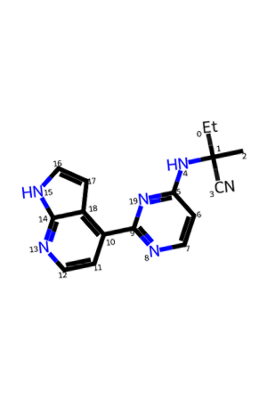 CCC(C)(C#N)Nc1ccnc(-c2ccnc3[nH]ccc23)n1